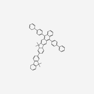 CC1(C)C2=C(CCC=C2)c2ccc(C3=CC4C(C=C3)c3cc5c(-c6ccc(-c7ccccc7)cc6)c6ccccc6c(-c6ccc(C7C=CC=CC7)cc6)c5cc3[Si]4(C)C)cc21